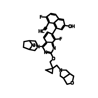 C#Cc1c(F)ccc2cc(O)cc(-c3ccc4c(N5CC6CCC(C5)N6)nc(OCC5(CN6CC7COCC7C6)CC5)nc4c3F)c12